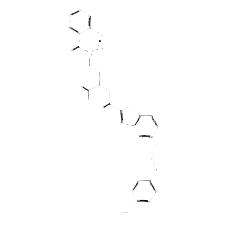 COc1ccc(CCOc2ccc3oc(C(=O)CC(CCn4nnc5ccccc5c4=O)C(=O)O)cc3c2)cc1